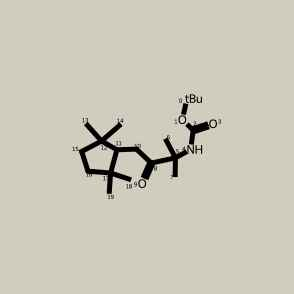 CC(C)(C)OC(=O)NC(C)(C)C(=O)CC1C(C)(C)CCC1(C)C